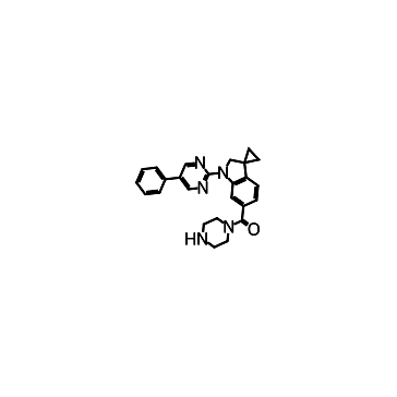 O=C(c1ccc2c(c1)N(c1ncc(-c3ccccc3)cn1)CC21CC1)N1CCNCC1